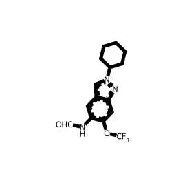 O=CNc1cc2cn(C3CCCCC3)nc2cc1OC(F)(F)F